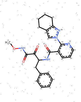 CONC(=O)C(=O)C(Cc1ccccc1)NC(=O)c1cccnc1-n1cc2c(n1)CCCC2